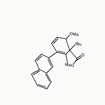 COC(=O)C1(C(C)(C)C)C(C)=C(c2ccc3ccccc3c2)C=CC1OC